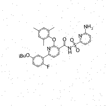 Cc1cc(C)c(Oc2nc(-c3cc(OCC(C)C)ccc3F)ccc2C(=O)NS(=O)(=O)c2cccc(N)n2)c(C)c1